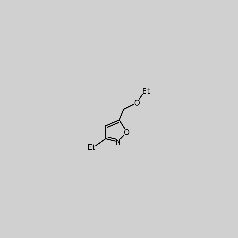 CCOCc1cc(CC)no1